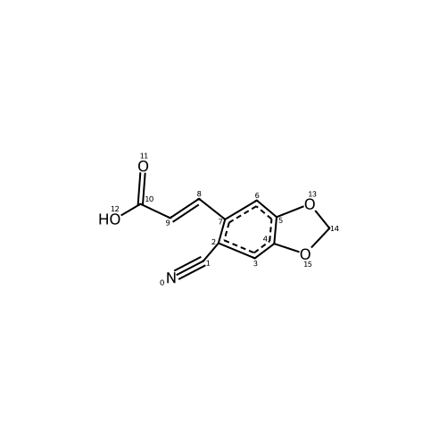 N#Cc1cc2c(cc1/C=C/C(=O)O)OCO2